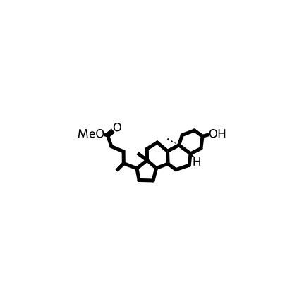 COC(=O)CCC(C)C1CCC2C3CC[C@@H]4CC(O)CC[C@]4(C)C3CCC12C